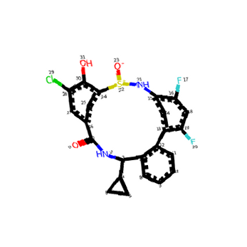 O=C1NC(C2CC2)c2ccccc2-c2cc(c(F)cc2F)N[S+]([O-])c2cc1cc(Cl)c2O